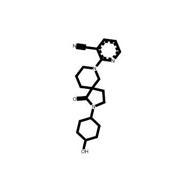 N#Cc1cccnc1N1CCCC2(CCN(C3CCC(O)CC3)C2=O)C1